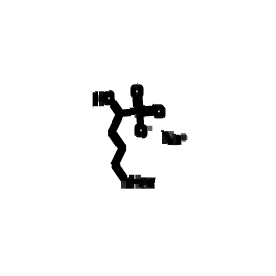 CCCCCCCCCC(O)S(=O)(=O)[O-].[Na+]